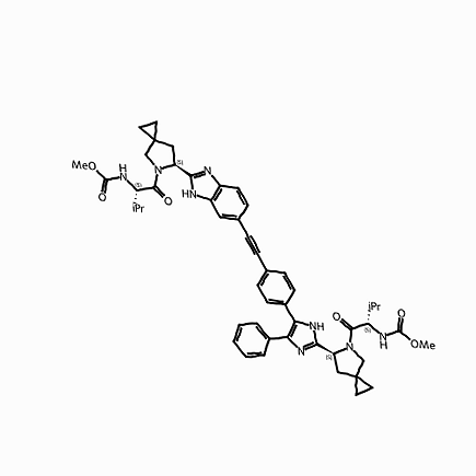 COC(=O)N[C@H](C(=O)N1CC2(CC2)C[C@H]1c1nc(-c2ccccc2)c(-c2ccc(C#Cc3ccc4nc([C@@H]5CC6(CC6)CN5C(=O)[C@@H](NC(=O)OC)C(C)C)[nH]c4c3)cc2)[nH]1)C(C)C